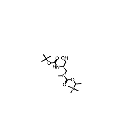 CC(OC(=O)N(C)C[C@H](CO)NC(=O)OC(C)(C)C)[Si](C)(C)C